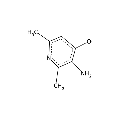 Cc1cc([O])c(N)c(C)n1